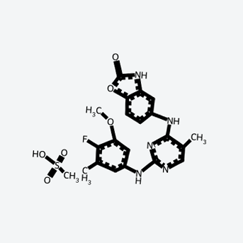 COc1cc(Nc2ncc(C)c(Nc3ccc4oc(=O)[nH]c4c3)n2)cc(C)c1F.CS(=O)(=O)O